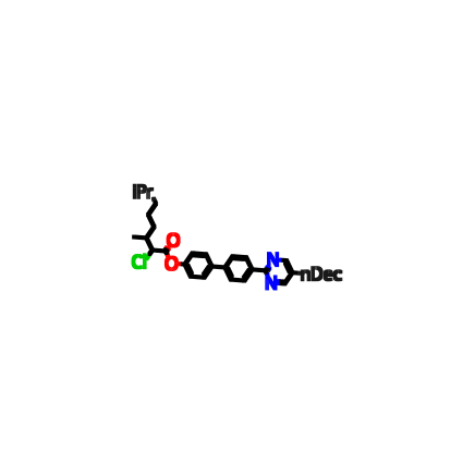 CCCCCCCCCCc1cnc(-c2ccc(-c3ccc(OC(=O)C(Cl)C(C)CCCC(C)C)cc3)cc2)nc1